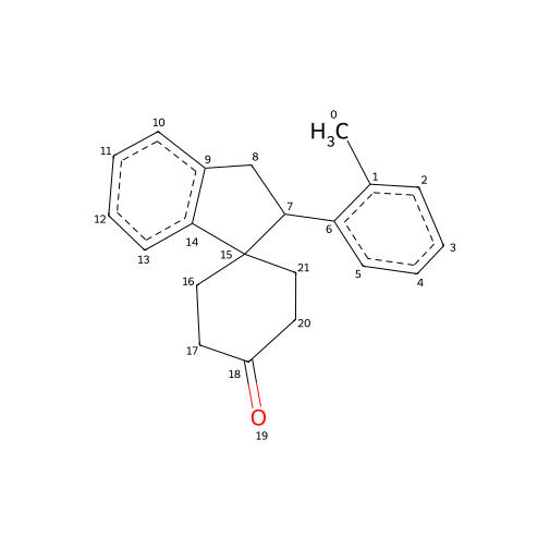 Cc1ccccc1C1Cc2ccccc2C12CCC(=O)CC2